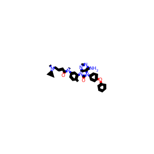 Cc1ccc(N(C)C(=O)C=CCN(C)C2CC2)cc1-n1c(=O)n(-c2ccc(Oc3ccccc3)cc2)c2c(N)ncnc21